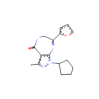 CCc1nn(C2CCCC2)c2c1C(=O)NCC(c1ccco1)=N2